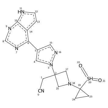 N#CCC1(n2cc(-c3ncnc4[nH]ccc34)cn2)CN(C2([SH](=O)=O)CC2)C1